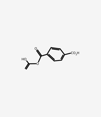 C=C(O)OC(=O)c1ccc(C(=O)O)cc1